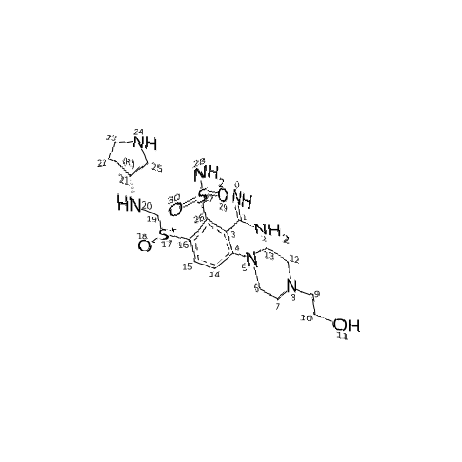 N=C(N)c1c(N2CCN(CCO)CC2)ccc([S+]([O-])CN[C@@H]2CCNC2)c1S(N)(=O)=O